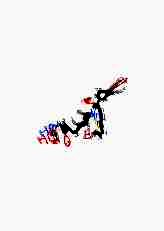 O=C(CCCCCNC(=O)/C(=C\c1ccc(Br)s1)c1ccc(Br)cc1)NO